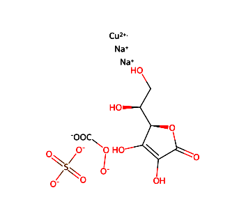 O=C([O-])O[O-].O=C1O[C@H]([C@@H](O)CO)C(O)=C1O.O=S(=O)([O-])[O-].[Cu+2].[Na+].[Na+]